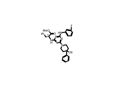 COC(=O)[C@H](CC(C)C)Nc1nc(Nc2cccc(F)c2)nc(N2CCC(C#N)(c3ccccc3)CC2)n1